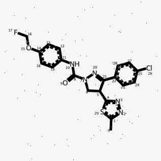 Cc1nnc(C2CN(C(=O)Nc3ccc(OCF)cc3)N=C2c2ccc(Cl)cc2)s1